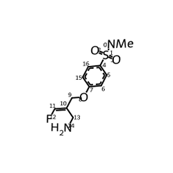 CNS(=O)(=O)c1ccc(OCC(=CF)CN)cc1